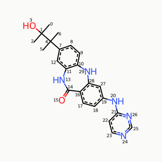 CC(C)(O)C(C)(C)c1ccc2c(c1)NC(=O)c1ccc(Nc3ccncn3)cc1N2